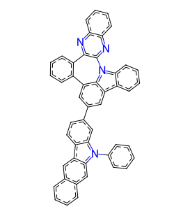 c1ccc(-n2c3cc(-c4cc5c6c(c4)c4ccccc4n6-c4nc6ccccc6nc4-c4ccccc4-5)ccc3c3cc4ccccc4cc32)cc1